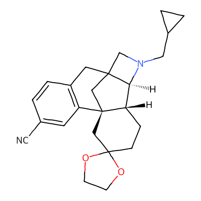 N#Cc1ccc2c(c1)[C@@]13CC4(CC[C@H]1[C@@H]1N(CC5CC5)CC1(C2)C3)OCCO4